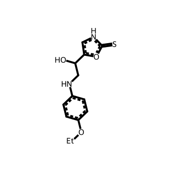 CCOc1ccc(NCC(O)c2c[nH]c(=S)o2)cc1